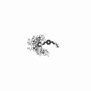 CC(C)(C)[Si](C)(C)OC[C@@H]1C(O[Si](C)(C)C(C)(C)C)C(O[Si](C)(C)C(C)(C)C)C(O[Si](C)(C)C(C)(C)C)CN1CCc1ccc(CCN=[N+]=[N-])cc1